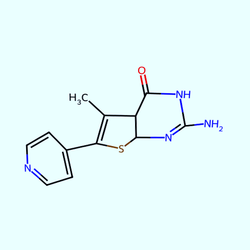 CC1=C(c2ccncc2)SC2N=C(N)NC(=O)C12